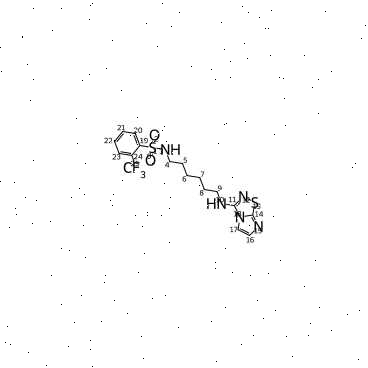 O=S(=O)(NCCCCCCNc1nsc2nccn12)c1ccccc1C(F)(F)F